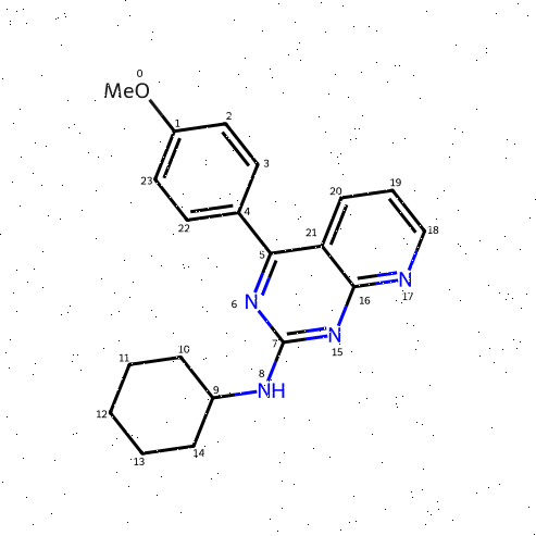 COc1ccc(-c2nc(NC3CCCCC3)nc3ncccc23)cc1